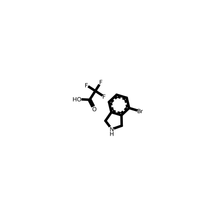 Brc1cccc2c1CNC2.O=C(O)C(F)(F)F